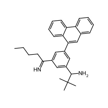 CCCCC(=N)c1cc(-c2cc3ccccc3c3ccccc23)cc(C(N)C(C)(C)C)c1